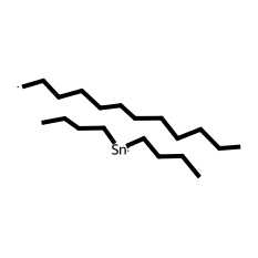 CCC[CH2][Sn][CH2]CCC.[CH2]CCCCCCCCCCC